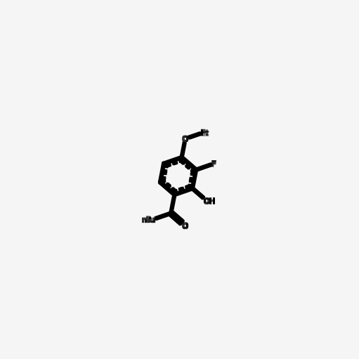 CCCCC(=O)c1ccc(OCC)c(F)c1O